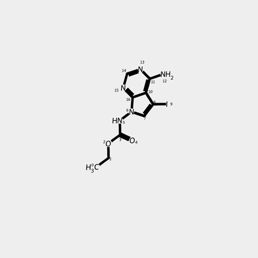 CCOC(=O)Nn1cc(I)c2c(N)ncnc21